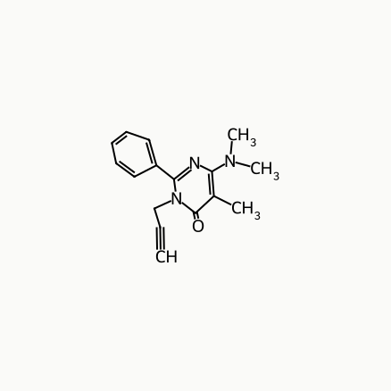 C#CCn1c(-c2ccccc2)nc(N(C)C)c(C)c1=O